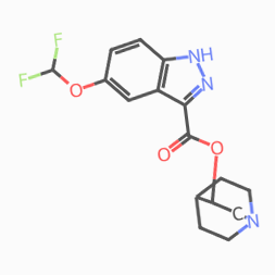 O=C(OC1CN2CCC1CC2)c1n[nH]c2ccc(OC(F)F)cc12